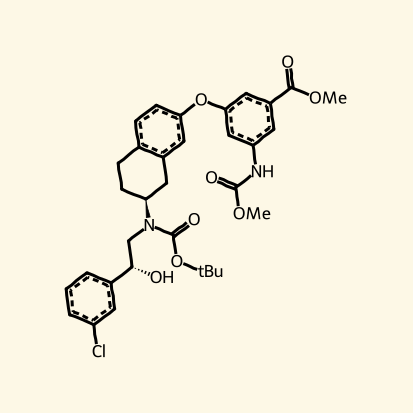 COC(=O)Nc1cc(Oc2ccc3c(c2)C[C@@H](N(C[C@H](O)c2cccc(Cl)c2)C(=O)OC(C)(C)C)CC3)cc(C(=O)OC)c1